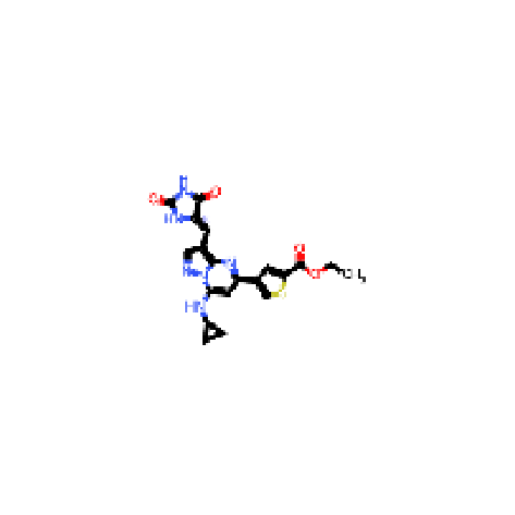 CCOC(=O)c1cc(-c2cc(NC3CC3)n3ncc(/C=C4\NC(=O)NC4=O)c3n2)cs1